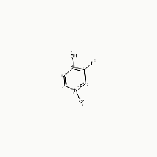 [O-][n+]1ccc(S)c(F)c1